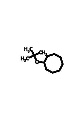 CC(C)(C)OC1CCCCCCC1